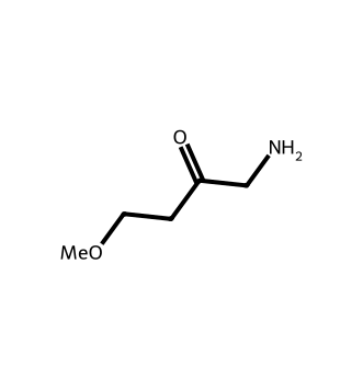 COCCC(=O)CN